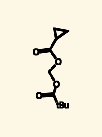 CC(C)(C)C(=O)OCOC(=O)C1CC1